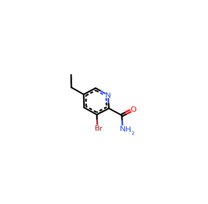 CCc1cnc(C(N)=O)c(Br)c1